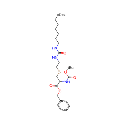 CCCCCCCCCCCCCCCCNC(=O)NCCSCC(NC(=O)OC(C)(C)C)C(=O)OCc1ccccc1